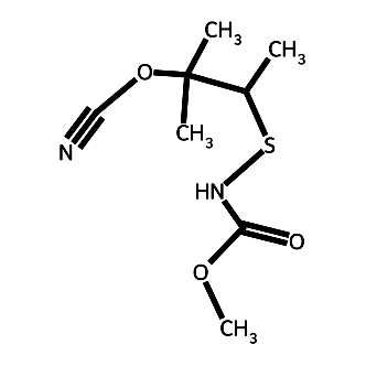 COC(=O)NSC(C)C(C)(C)OC#N